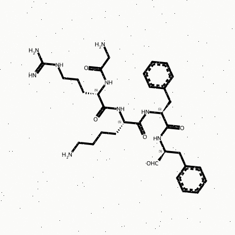 N=C(N)NCCC[C@H](NC(=O)CN)C(=O)N[C@@H](CCCCN)C(=O)N[C@@H](Cc1ccccc1)C(=O)N[C@H]([C]=O)Cc1ccccc1